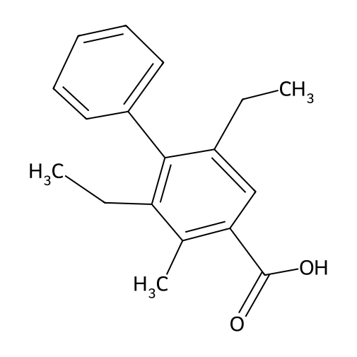 CCc1cc(C(=O)O)c(C)c(CC)c1-c1ccccc1